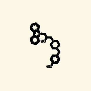 CC(C)(C)c1ccc(CN2CCN(CC(O)Cn3c4ccccc4c4ccccc43)CC2)cc1